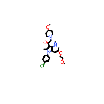 C=Nc1c(C(=O)CN2CCC(OC)CC2)c(C)n(-c2ccc(Cl)cc2)c1/C=C(\C)OCCOC